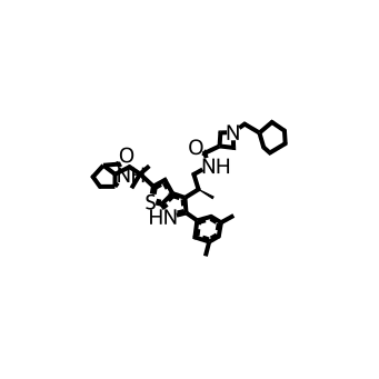 Cc1cc(C)cc(-c2[nH]c3sc(C(C)(C)CC4C5CCC4C(=O)N5)cc3c2[C@H](C)CNC(=O)C2CN(CC3CCCCC3)C2)c1